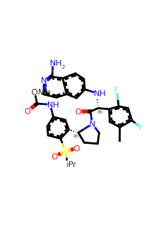 COC(=O)Nc1ccc(S(=O)(=O)C(C)C)c([C@H]2CCCN2C(=O)[C@H](Nc2ccc3c(N)nccc3c2)c2cc(C)c(F)cc2F)c1